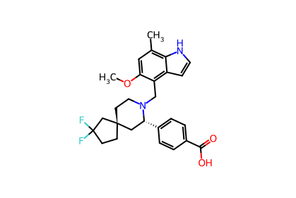 COc1cc(C)c2[nH]ccc2c1CN1CC[C@]2(CCC(F)(F)C2)C[C@H]1c1ccc(C(=O)O)cc1